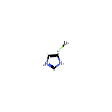 C1=CN=C[N]1.[Li][F]